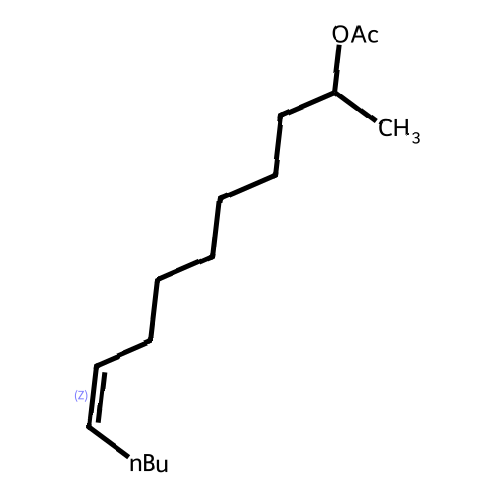 CCCC/C=C\CCCCCCC(C)OC(C)=O